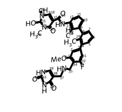 COc1cc(-c2cccc(-c3cccc(NC(=O)C4=CN(C)C(O)N(C)C4=O)c3C)c2C)cc(F)c1CNCc1c[nH]c(=O)[nH]c1=O